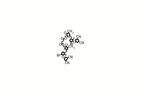 Cc1cc(Cc2ccc(Br)c(Oc3cc(C#N)cc(C#N)c3)c2F)nn(COC(=O)CCC(=O)OCn2nc(Cc3ccc(Br)c(Oc4cc(C#N)cc(C#N)c4)c3F)cc(C)c2=O)c1=O